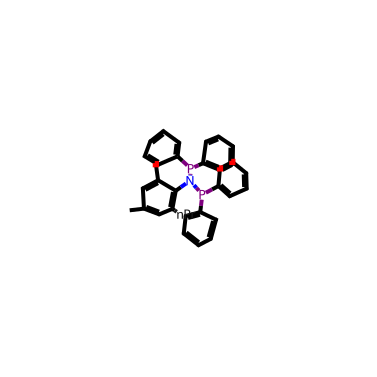 CCCc1cc(C)cc(C)c1N(P(c1ccccc1)c1ccccc1)P(c1ccccc1)c1ccccc1